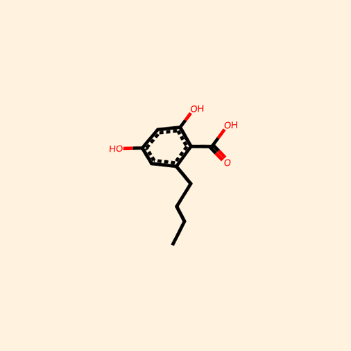 CCCCc1cc(O)cc(O)c1C(=O)O